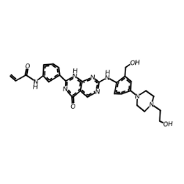 C=CC(=O)Nc1cccc(-c2nc(=O)c3cnc(Nc4ccc(N5CCN(CCO)CC5)cc4CO)nc3[nH]2)c1